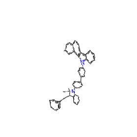 CC1(C)C(c2ccccc2)c2ccccc2N1c1ccc(-c2ccc(-n3c4ccccc4c4ccc5ccccc5c43)cc2)cc1